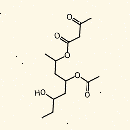 CCC(O)CC(CC(C)OC(=O)CC(C)=O)OC(C)=O